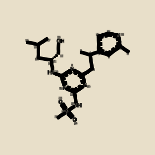 Cc1cc(C(C)Cc2nc(N[C@@H](CO)CC(C)C)nc(NS(C)(=O)=O)n2)ccn1